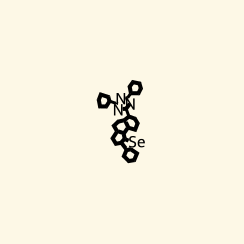 c1ccc(-c2nc(-c3ccccc3)nc(-c3cccc4c3ccc3ccc5c6ccccc6[se]c5c34)n2)cc1